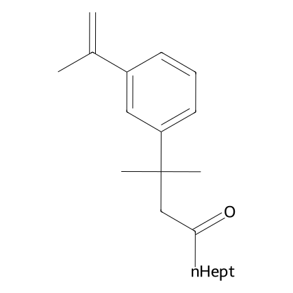 C=C(C)c1cccc(C(C)(C)CC(=O)CCCCCCC)c1